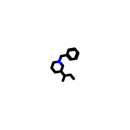 CCC(C)C1CCCN(Cc2ccccc2)C1